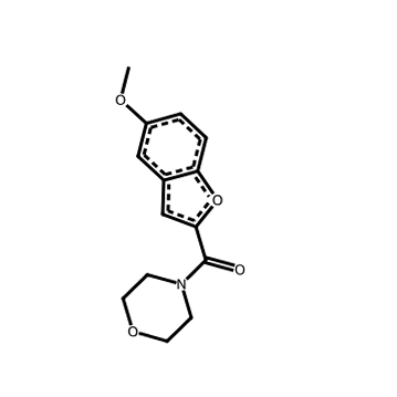 COc1ccc2oc(C(=O)N3CCOCC3)cc2c1